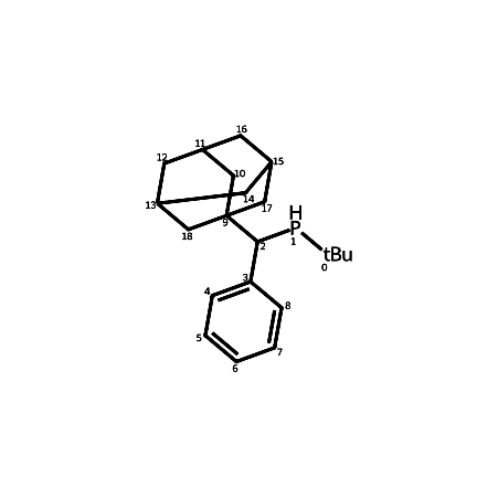 CC(C)(C)PC(c1ccccc1)C12CC3CC(CC(C3)C1)C2